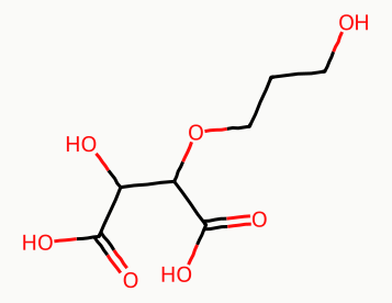 O=C(O)C(O)C(OCCCO)C(=O)O